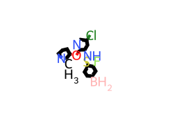 Bc1ccc(SNc2cc(Cl)cnc2Oc2cccnc2C)c(F)c1